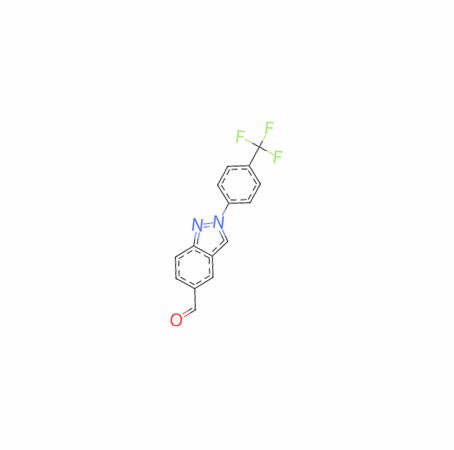 O=Cc1ccc2nn(-c3ccc(C(F)(F)F)cc3)cc2c1